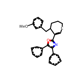 COc1cccc(CC2CCCCC=C2c2nc(-c3ccccc3)c(-c3ccccc3)o2)c1